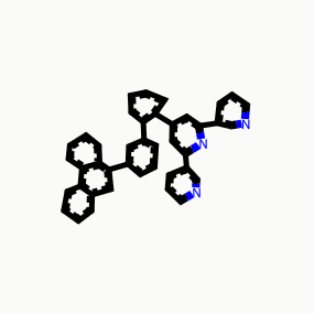 c1cncc(-c2cc(-c3ccccc3-c3cccc(-c4cc5ccccc5c5ccccc45)c3)cc(-c3cccnc3)n2)c1